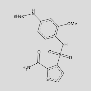 CCCCCCNc1ccc(NS(=O)(=O)c2ccsc2C(N)=O)c(OC)c1